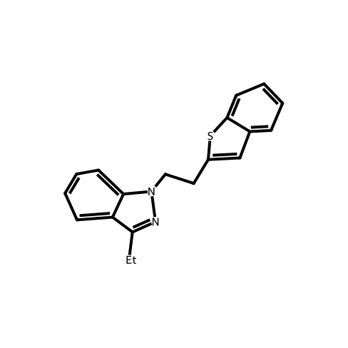 CCc1nn(CCc2cc3ccccc3s2)c2ccccc12